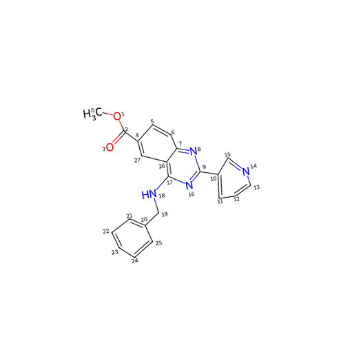 COC(=O)c1ccc2nc(-c3cccnc3)nc(NCc3ccccc3)c2c1